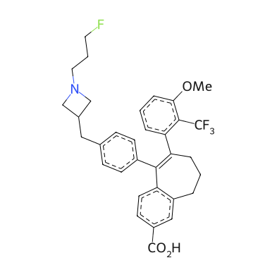 COc1cccc(C2=C(c3ccc(CC4CN(CCCF)C4)cc3)c3ccc(C(=O)O)cc3CCC2)c1C(F)(F)F